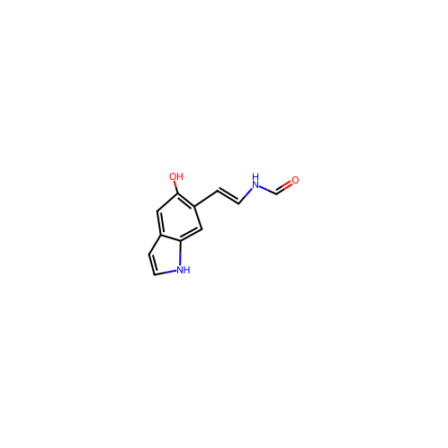 O=CNC=Cc1cc2[nH]ccc2cc1O